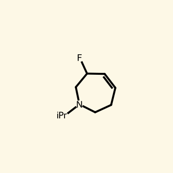 CC(C)N1CCC=CC(F)C1